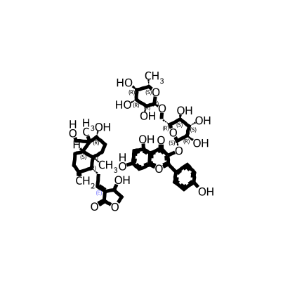 C=C1CC[C@@H]2C(C)(CO)[C@H](O)CC[C@@]2(C)[C@@H]1C/C=C1/C(=O)OCC1O.C[C@@H]1O[C@@H](OC[C@H]2O[C@@H](Oc3c(-c4ccc(O)cc4)oc4cc(O)cc(O)c4c3=O)[C@H](O)[C@@H](O)[C@@H]2O)[C@H](O)[C@H](O)[C@H]1O